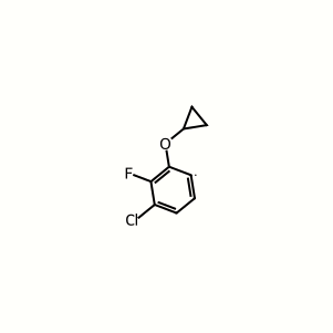 Fc1c(OC2CC2)[c]ccc1Cl